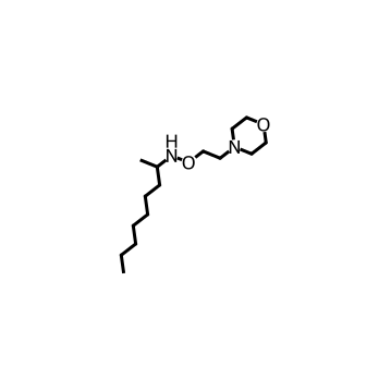 CCCCCCCC(C)NOCCN1CCOCC1